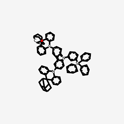 c1ccc([Si](c2ccccc2)(c2ccccc2)c2cccc(-n3c4ccc(N5c6ccccc6C6(c7ccccc75)C5CC7CC(C5)CC6C7)cc4c4cc(N5c6ccccc6C6(c7ccccc75)C5CC7CC(C5)CC6C7)ccc43)c2)cc1